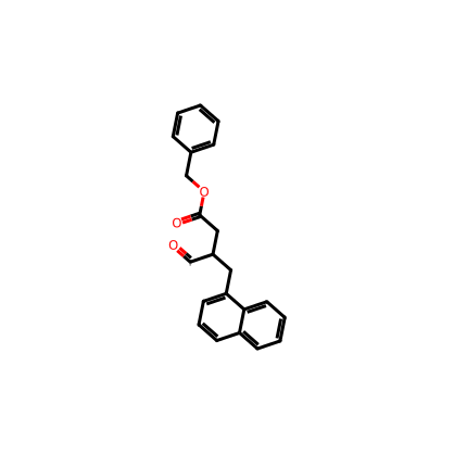 O=[C]C(CC(=O)OCc1ccccc1)Cc1cccc2ccccc12